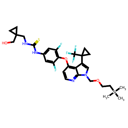 C[Si](C)(C)CCOCn1cc(C2(C(F)(F)F)CC2)c2c(Oc3c(F)cc(NC(=S)NCC4(CO)CC4)cc3F)ccnc21